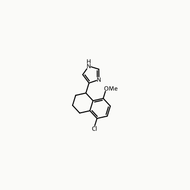 COc1ccc(Cl)c2c1C(c1c[nH]cn1)CCC2